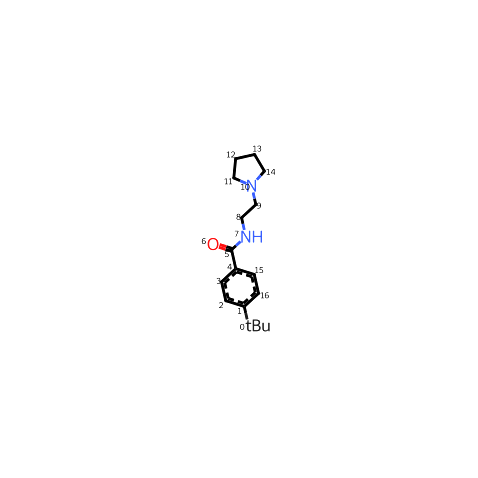 CC(C)(C)c1ccc(C(=O)NCCN2CCCC2)cc1